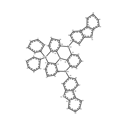 c1ccc([Si]2(c3ccccc3)c3cccc4c3B3c5c(cccc5N(c5ccc6c(c5)sc5ccccc56)c5cccc2c53)N4c2ccc3c(c2)sc2ccccc23)cc1